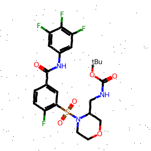 CC(C)(C)OC(=O)NCC1COCCN1S(=O)(=O)c1cc(C(=O)Nc2cc(F)c(F)c(F)c2)ccc1F